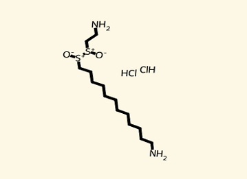 Cl.Cl.NCCCCCCCCCCCC[S+]([O-])[S+]([O-])CCN